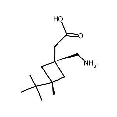 CC(C)(C)[C@]1(C)C[C@](CN)(CC(=O)O)C1